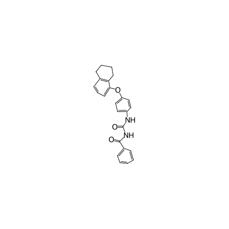 O=C(NC(=O)c1ccccc1)Nc1ccc(Oc2cccc3c2CCCC3)cc1